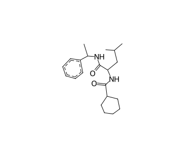 CC(C)CC(NC(=O)C1CCCCC1)C(=O)NC(C)c1ccccc1